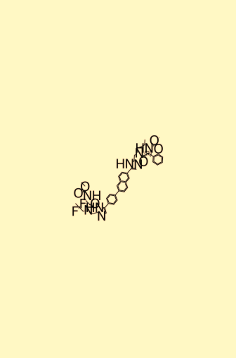 CCCN(Cc1ncc(-c2ccc3cc(-c4ccc(-c5cnc(CN(CC(C)(F)F)C(=O)CNC(=O)OC)[nH]5)cc4)ccc3c2)[nH]1)C(=O)[C@H](NC(=O)OC)c1ccccc1